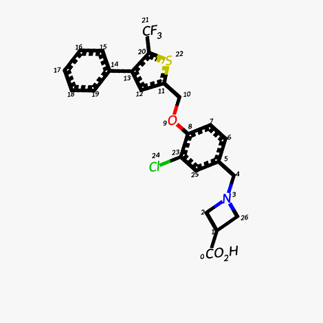 O=C(O)C1CN(Cc2ccc(OCc3cc(-c4ccccc4)c(C(F)(F)F)s3)c(Cl)c2)C1